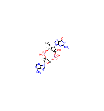 C#C[C@@H]1[C@@H](n2cnc3c(=O)[nH]c(N)nc32)[C@H](O)[C@@H]2OP(=O)(O)OC[C@H]3O[C@@H](n4cnc5c(N)ncnc54)[C@H](F)[C@@H]3OP(=O)(O)OC[C@@]12C